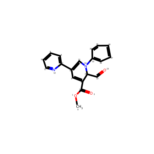 COC(=O)C1=CC(c2ccccn2)=CN(c2ccccc2)C1C=O